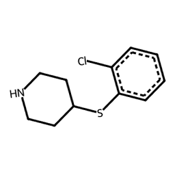 Clc1ccccc1SC1CCNCC1